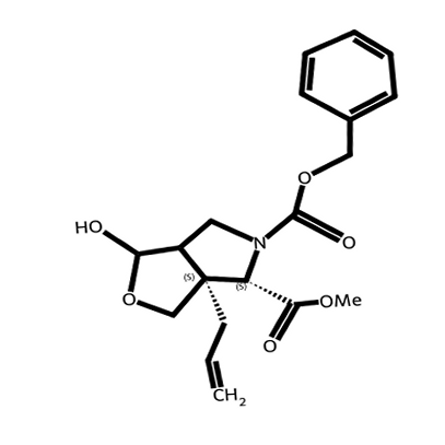 C=CC[C@]12COC(O)C1CN(C(=O)OCc1ccccc1)[C@@H]2C(=O)OC